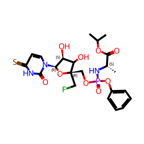 CC(C)OC(=O)[C@H](C)NP(=O)(OC[C@@]1(CF)O[C@@H](n2ccc(=S)[nH]c2=O)[C@@H](O)C1O)Oc1ccccc1